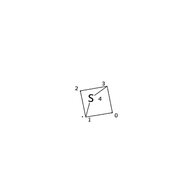 C1[C]2CC1S2